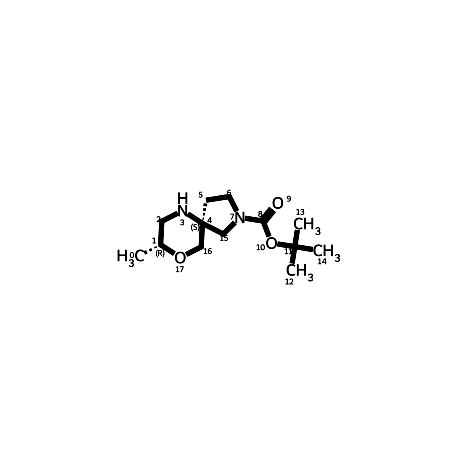 C[C@@H]1CN[C@]2(CCN(C(=O)OC(C)(C)C)C2)CO1